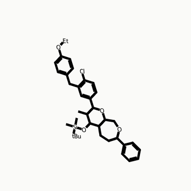 CCOc1ccc(Cc2cc(C3OC4COC(c5ccccc5)CCC4C(O[Si](C)(C)C(C)(C)C)C3C)ccc2Cl)cc1